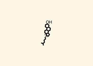 CC(C)CCCC[C@H]1CCC2C3CCC4CC(O)CCC4C3CC[C@@]21C